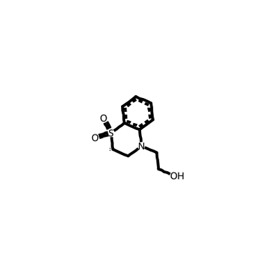 O=S1(=O)[C]CN(CCO)c2ccccc21